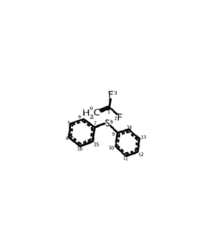 C=C(F)F.c1ccc(Sc2ccccc2)cc1